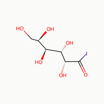 O=C(I)[C@H](O)[C@@H](O)[C@@H](O)[C@H](O)CO